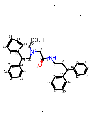 O=C(O)CN(CC(=O)NCCC(c1ccccc1)c1ccccc1)CC(c1ccccc1)c1ccccc1